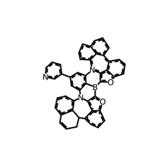 C1=Cc2cccc3c2C(C1)c1cccc2oc4c(c12)N3c1cc(-c2cccnc2)cc2c1B4c1oc3cccc4c5cccc6cccc(c65)n-2c1c34